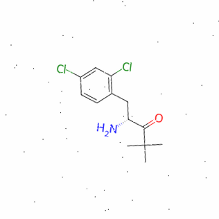 CC(C)(C)C(=O)[C@H](N)Cc1ccc(Cl)cc1Cl